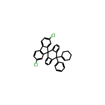 Clc1ccc2c(c1)C1(c3cc(Cl)ccc3-2)c2ccccc2C(C2=CCCCC2)(c2ccccc2)c2ccccc21